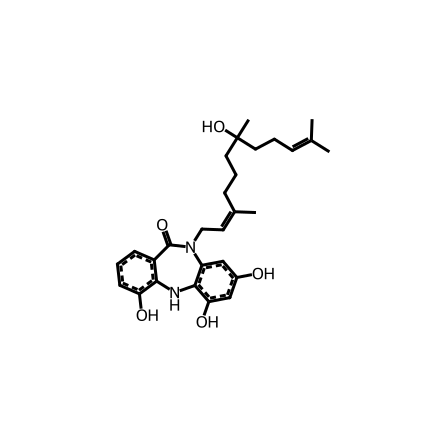 CC(C)=CCCC(C)(O)CCCC(C)=CCN1C(=O)c2cccc(O)c2Nc2c(O)cc(O)cc21